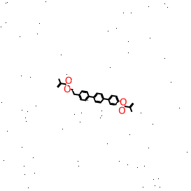 C=C(C)C(=O)OCCc1ccc(-c2ccc(-c3ccc(OC(=O)C(=C)C)cc3)cc2)cc1